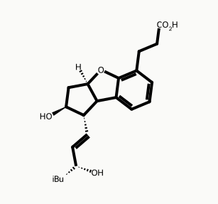 CC[C@@H](C)[C@@H](O)/C=C/[C@H]1C2c3cccc(CCC(=O)O)c3O[C@@H]2C[C@@H]1O